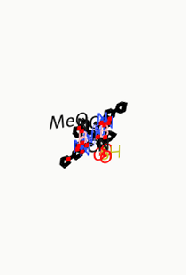 COc1ccc(-c2c3/c(=C(\C#N)c4cnc5cc(-c6ccccc6)ccc5n4)n(B(c4ccccc4)c4ccccc4)c(-c4ccc(O[SH](=O)=O)cc4)c3/c(=C(\C#N)c3cnc4cc(-c5ccccc5)ccc4n3)n2B(c2ccccc2)c2ccccc2)cc1